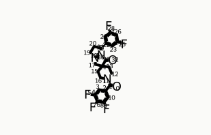 O=C(c1cc(F)c(F)c(F)c1)N1CCC2(CC1)CN1CC[C@@H](c3cc(F)cc(F)c3)N1C2=O